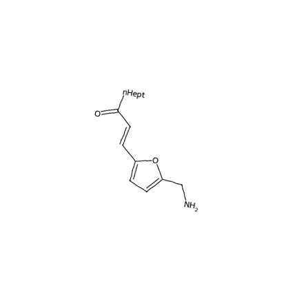 CCCCCCCC(=O)C=Cc1ccc(CN)o1